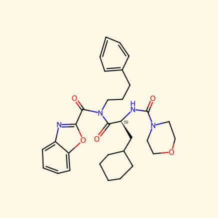 O=C(N[C@@H](CC1CCCCC1)C(=O)N(CCCc1ccccc1)C(=O)c1nc2ccccc2o1)N1CCOCC1